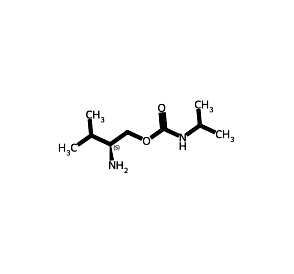 CC(C)NC(=O)OC[C@@H](N)C(C)C